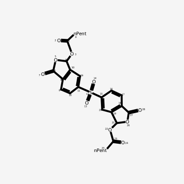 CCCCCC(=O)OC1OC(=O)c2ccc(S(=O)(=O)c3ccc4c(c3)C(OC(=O)CCCCC)OC4=O)cc21